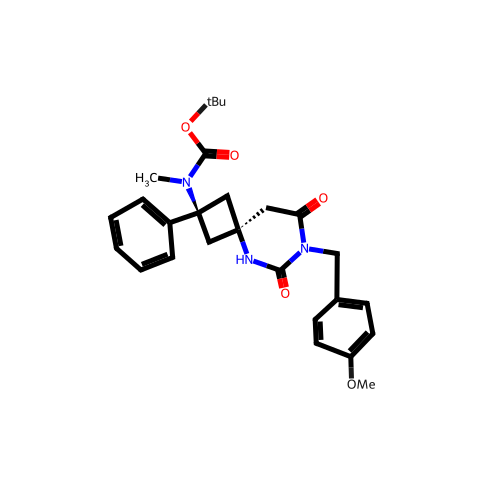 COc1ccc(CN2C(=O)C[C@]3(C[C@](c4ccccc4)(N(C)C(=O)OC(C)(C)C)C3)NC2=O)cc1